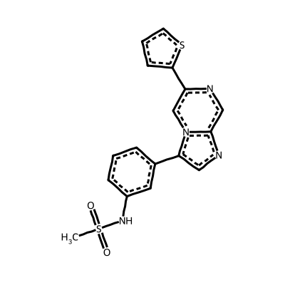 CS(=O)(=O)Nc1cccc(-c2cnc3cnc(-c4cccs4)cn23)c1